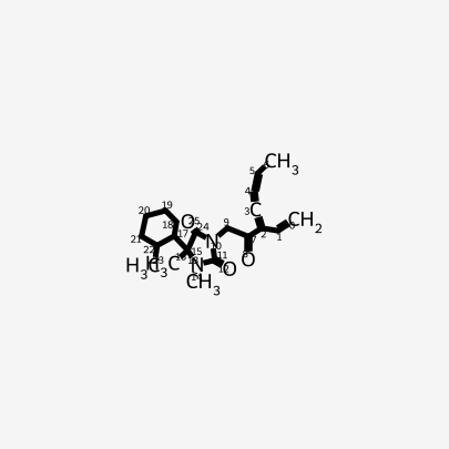 C=CC(=C=C=CC)C(=O)CN1C(=O)N(C)C(C)(C2CCCCC2C)C1=O